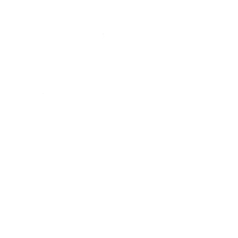 C=C(C)C(=O)OCCO.C=C(CC=C(C)C(=O)O)C(=O)OC1CCCCC1